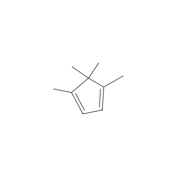 CC1=CC=C(C)C1(C)C